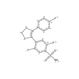 NS(=O)(=O)c1cc(F)c(C2=C(c3ccc(F)cc3)CCC2)cc1F